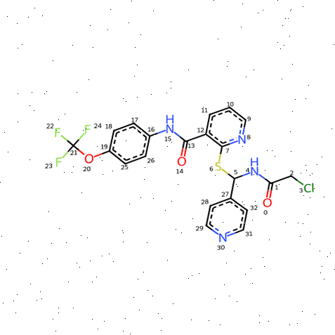 O=C(CCl)NC(Sc1ncccc1C(=O)Nc1ccc(OC(F)(F)F)cc1)c1ccncc1